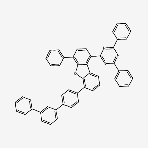 c1ccc(-c2cccc(-c3ccc(-c4cccc5c4oc4c(-c6ccccc6)ccc(-c6nc(-c7ccccc7)nc(-c7ccccc7)n6)c45)cc3)c2)cc1